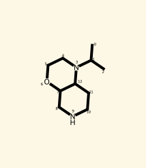 CC(C)N1CCOC2CNCCC21